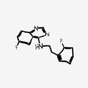 Fc1ccc2ncnc(NCCc3ccccc3F)c2c1